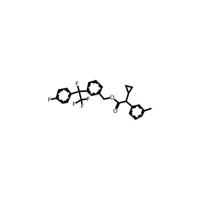 Cc1cccc(C(C(=O)OCc2cccc(C(F)(c3ccc(F)cc3)C(F)(F)F)c2)C2CC2)c1